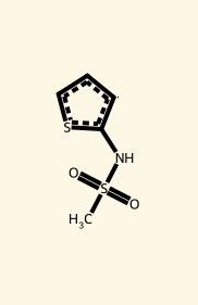 CS(=O)(=O)Nc1[c]ccs1